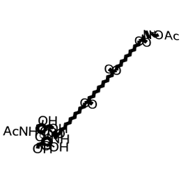 CC(=O)NC1C[C@@H](O)C(CO)O[C@@H]1O[C@H]1C(CO)O[C@H](O)C(NC(=O)OCCCCCCCCCCOC(=O)CCCCCCCCCCC(=O)OCCCCCCCCCCOC(=O)C[N+](C)(C)CCOC(C)=O)[C@@H]1O